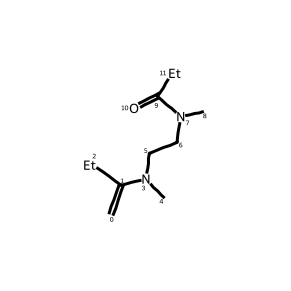 C=C(CC)N(C)CCN(C)C(=O)CC